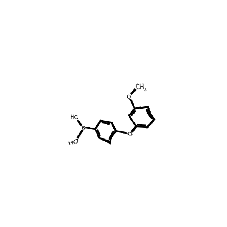 COc1cccc(Oc2ccc(B(O)O)cc2)c1